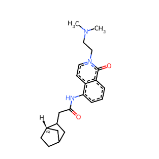 CN(C)CCn1ccc2c(NC(=O)CC3CC4CC[C@H]3C4)cccc2c1=O